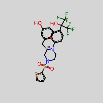 O=S(=O)(c1cccs1)N1CCN(c2ccc(C(O)(C(F)(F)F)C(F)(F)F)cc2)[C@H](Cc2cccc(O)c2)C1